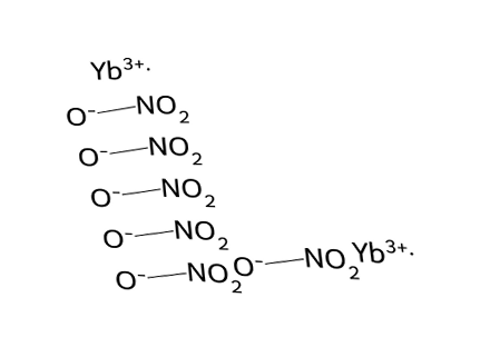 O=[N+]([O-])[O-].O=[N+]([O-])[O-].O=[N+]([O-])[O-].O=[N+]([O-])[O-].O=[N+]([O-])[O-].O=[N+]([O-])[O-].[Yb+3].[Yb+3]